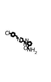 Cn1c(C2CCN(CCc3ccc(Cl)cc3)CC2)nc2c(C(N)=O)cccc21